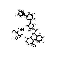 O=C(O)C(=O)O.O=C1CCCCN1c1ncccc1CCN1CCC(c2cccc(-n3cccn3)n2)C1